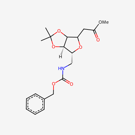 COC(=O)CC1O[C@H](CNC(=O)OCc2ccccc2)[C@H]2OC(C)(C)OC12